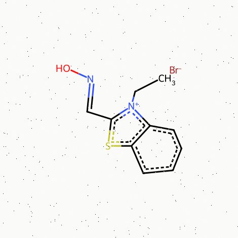 CC[n+]1c(C=NO)sc2ccccc21.[Br-]